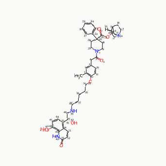 Cc1cc(CC(=O)N2CCC(C(=O)O[C@H]3CN4CCC3CC4)(c3ccccc3)CC2)ccc1OCCCCCNC[C@H](O)c1ccc(O)c2[nH]c(=O)ccc12